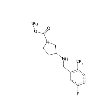 CC(C)(C)OC(=O)N1CCC(NCc2cc(F)ccc2C(F)(F)F)C1